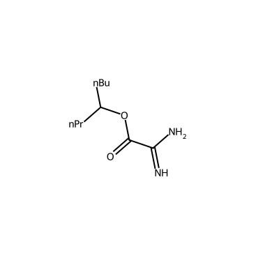 CCCCC(CCC)OC(=O)C(=N)N